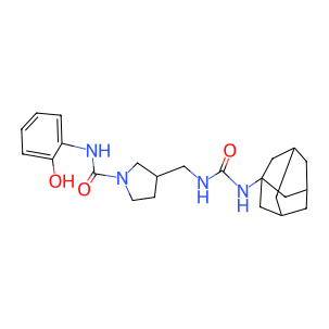 O=C(NCC1CCN(C(=O)Nc2ccccc2O)C1)NC12CC3CC(CC(C3)C1)C2